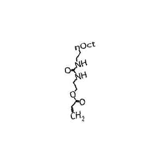 C=CC(=O)OCCNC(=O)NCCCCCCCCCC